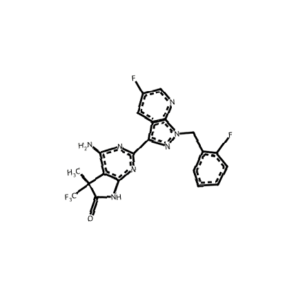 CC1(C(F)(F)F)C(=O)Nc2nc(-c3nn(Cc4ccccc4F)c4ncc(F)cc34)nc(N)c21